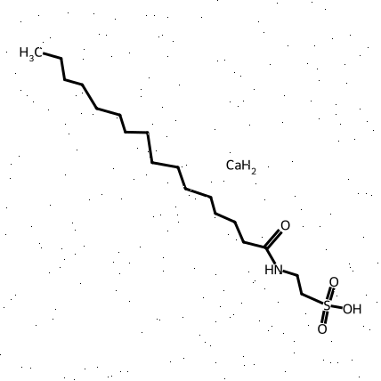 CCCCCCCCCCCCCCCC(=O)NCCS(=O)(=O)O.[CaH2]